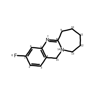 Fc1ccc2c(c1)N=C1CCCCCN1C2